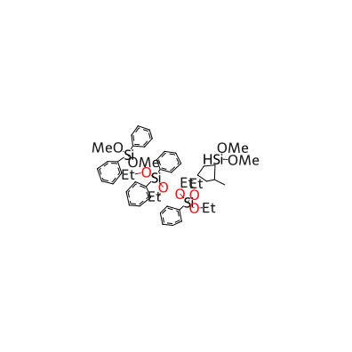 CCO[Si](OCC)(OCC)c1ccccc1.CCO[Si](OCC)(c1ccccc1)c1ccccc1.CO[SiH](OC)C1CCCC1C.CO[Si](OC)(c1ccccc1)c1ccccc1